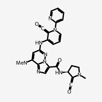 CNc1cc(NC2=CC=CN(c3ccccn3)C2=C=O)nn2c(C(=O)N[C@H]3CCN(C)C3=C=O)cnc12